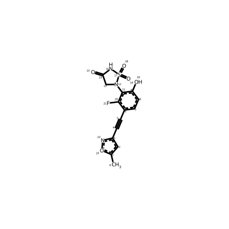 Cc1cc(C#Cc2ccc(O)c(N3CC(=O)NS3(=O)=O)c2F)no1